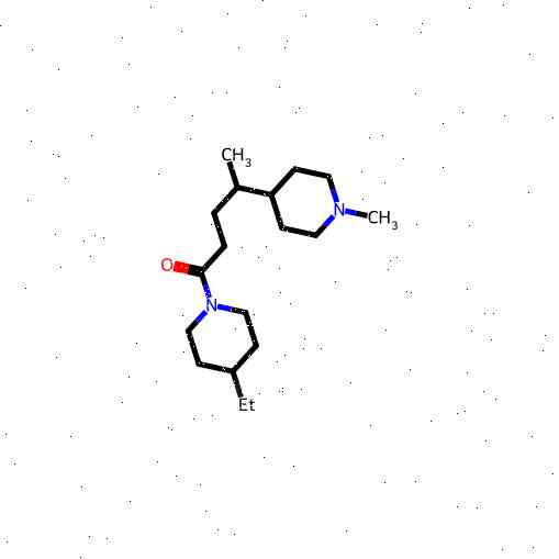 CCC1CCN(C(=O)CCC(C)C2CCN(C)CC2)CC1